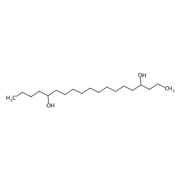 CCCCC(O)CCCCCCCCCCC(O)CCC